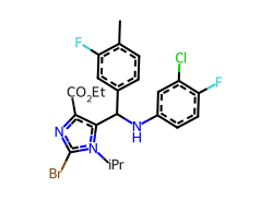 CCOC(=O)c1nc(Br)n(C(C)C)c1C(Nc1ccc(F)c(Cl)c1)c1ccc(C)c(F)c1